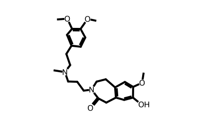 COc1cc2c(cc1O)CC(=O)N(CCCN(C)CCc1ccc(OC)c(OC)c1)CC2